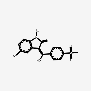 CC(=O)c1ccc2c(c1)C(=C(O)c1ccc(S(C)(=O)=O)cc1)C(=O)N2C(C)=O